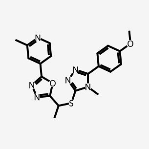 COc1ccc(-c2nnc(SC(C)c3nnc(-c4ccnc(C)c4)o3)n2C)cc1